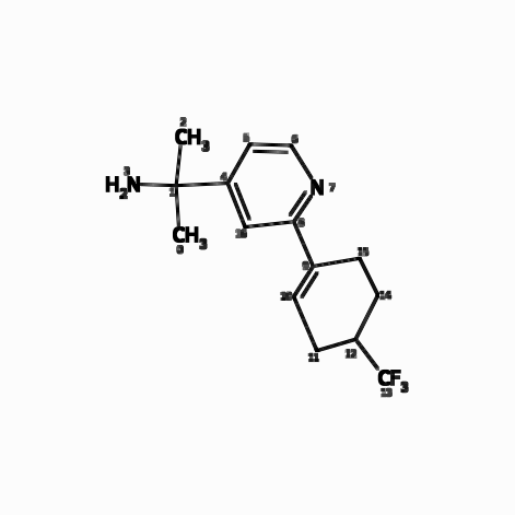 CC(C)(N)c1ccnc(C2=CCC(C(F)(F)F)CC2)c1